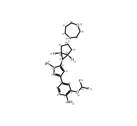 CC(C)n1nc(-c2cnc(N)c(OC(F)F)c2)cc1[C@H]1[C@@H]2C[C@H](N3CCCOCC3)C[C@@H]21